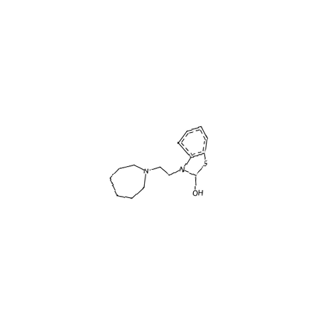 OC1Sc2ccccc2N1CCN1CCCCCC1